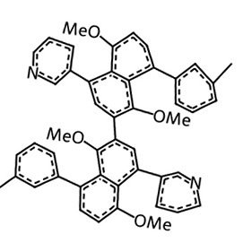 COc1ccc(-c2cccc(C)c2)c2c(OC)c(-c3cc(-c4cccnc4)c4c(OC)ccc(-c5cccc(C)c5)c4c3OC)cc(-c3cccnc3)c12